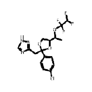 CC(OC(F)(F)C(F)F)C1COC(Cc2nc[nH]n2)(c2ccc(Cl)cc2)O1